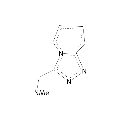 CNCc1nnc2ccccn12